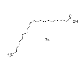 CCCCCCCCCC/C=C\CCCCCCCCCC(=O)O.[Zn]